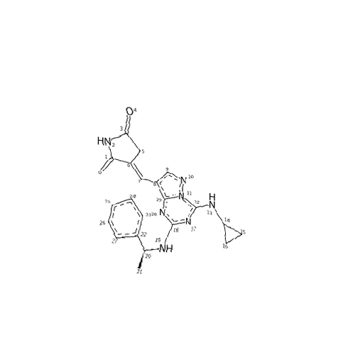 C=C1NC(=O)C/C1=C\c1cnn2c(NC3CC3)nc(N[C@@H](C)c3ccccc3)nc12